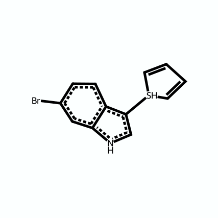 Brc1ccc2c([SH]3C=CC=C3)c[nH]c2c1